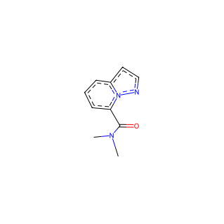 CN(C)C(=O)c1cccc2ccnn12